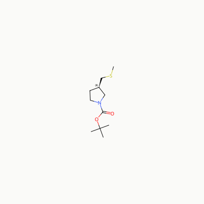 CSC[C@@H]1CCN(C(=O)OC(C)(C)C)C1